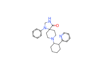 O=C1NCN(c2ccccc2)C12CCN(C1CCCCC1c1ccccn1)CC2